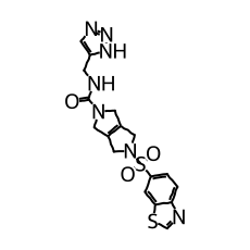 O=C(NCc1cnn[nH]1)N1CC2=C(C1)CN(S(=O)(=O)c1ccc3ncsc3c1)C2